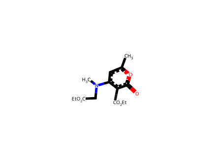 CCOC(=O)CN(C)c1cc(C)oc(=O)c1C(=O)OCC